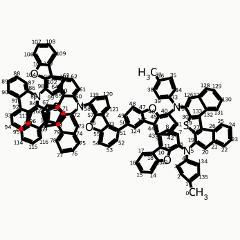 Cc1ccc(N(c2cccc3c2oc2ccccc23)c2cc3ccccc3c3c2sc2c(N(c4ccc(C)cc4)c4cccc5c4oc4ccc(-c6cccc7oc8c(N(c9ccccc9-c9ccccc9)c9cc%10ccccc%10c%10c9sc9c(N(c%11ccccc%11-c%11ccccc%11)c%11cccc%12c%11oc%11ccccc%11%12)cc%11ccccc%11c9%10)cccc8c67)cc45)cc4ccccc4c23)cc1